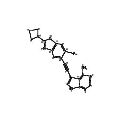 Nc1ncnc2[nH]cc(C#Cc3cc4nc(N5CCC5)oc4cc3F)c12